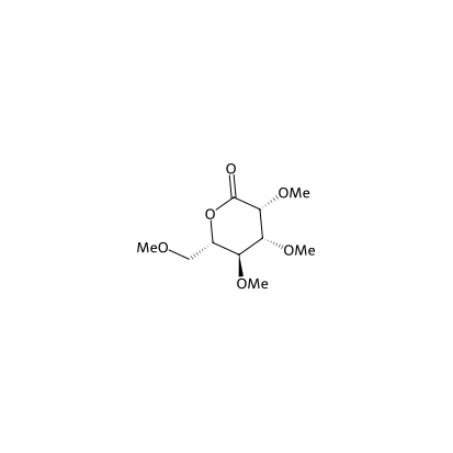 COC[C@@H]1OC(=O)[C@H](OC)[C@H](OC)[C@H]1OC